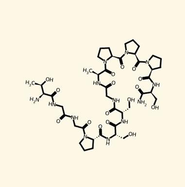 C[C@H](NC(=O)CNC(=O)[C@H](CO)NC(=O)[C@H](CO)NC(=O)[C@@H]1CCCN1C(=O)CNC(=O)CNC(=O)[C@@H](N)[C@@H](C)O)C(=O)N1CCC[C@H]1C(=O)N1CCC[C@H]1C(=O)N1CCC[C@H]1C(=O)N[C@@H](CO)C(N)=O